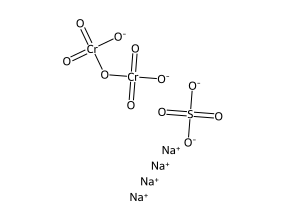 O=S(=O)([O-])[O-].[Na+].[Na+].[Na+].[Na+].[O]=[Cr](=[O])([O-])[O][Cr](=[O])(=[O])[O-]